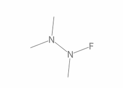 CN(C)N(C)F